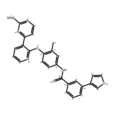 CNc1nccc(-c2cccnc2Oc2ccc(NC(=O)c3cccc(-c4ccoc4)c3)cc2C)n1